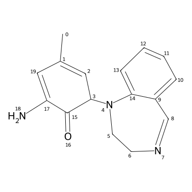 CC1=CC(N2CCN=Cc3ccccc32)C(=O)C(N)=C1